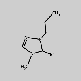 CCCN1N=CN(C)C1Br